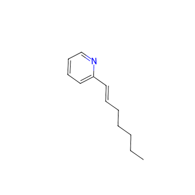 CCCCCC=Cc1ccccn1